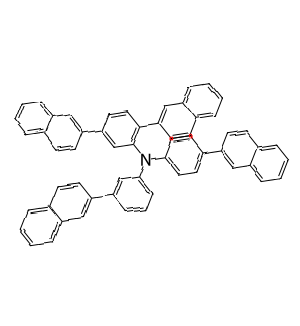 c1cc(-c2ccc3ccccc3c2)cc(N(c2ccc(-c3ccc4ccccc4c3)cc2)c2cc(-c3ccc4ccccc4c3)ccc2-c2ccc3ccccc3c2)c1